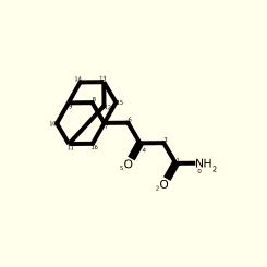 NC(=O)CC(=O)CC12CC3CC(CC(C3)C1)C2